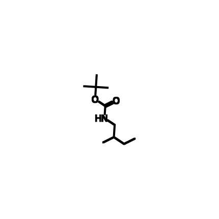 CCC(C)CNC(=O)OC(C)(C)C